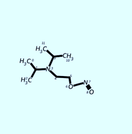 CC(C)N(CCON=O)C(C)C